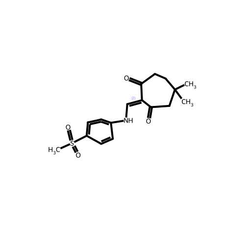 CC1(C)CCC(=O)/C(=C/NC2=C=C=C(S(C)(=O)=O)C=C2)C(=O)C1